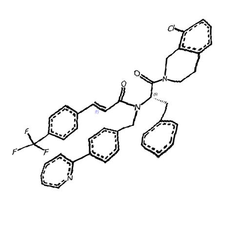 O=C([C@H](Cc1ccccc1)N(Cc1ccc(-c2ccccn2)cc1)C(=O)/C=C/c1ccc(C(F)(F)F)cc1)N1CCc2cccc(Cl)c2C1